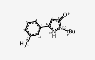 Cc1cccc(-c2cc(=O)n(C(C)(C)C)[nH]2)c1